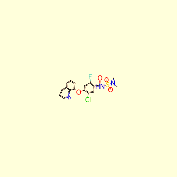 CN(C)S(=O)(=O)NC(=O)c1cc(Cl)c(Oc2cccc3cccnc23)cc1F